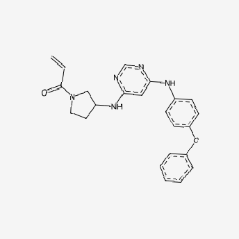 C=CC(=O)N1CCC(Nc2cc(Nc3ccc(Oc4ccccc4)cc3)ncn2)C1